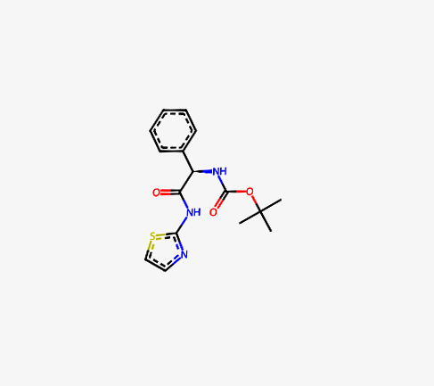 CC(C)(C)OC(=O)N[C@@H](C(=O)Nc1nccs1)c1ccccc1